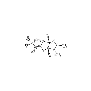 C[C@@H]1[C@@H]2CN(C(=O)C(C)(C)O)C[C@@H]2C[C@H]1C